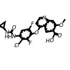 COc1cc2nccc(Oc3c(F)cc(NC(=O)NC4CC4)c(Cl)c3F)c2cc1C(=O)O